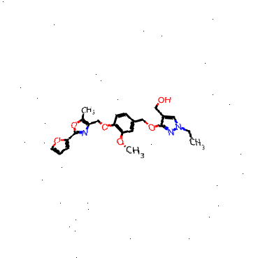 CCn1cc(CO)c(OCc2ccc(OCc3nc(-c4ccco4)oc3C)c(OC)c2)n1